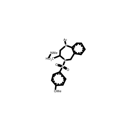 CNC.COc1ccc(S(=O)(=O)N2Cc3ccccc3N(C(C)=O)CC2C(=O)O)cc1